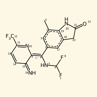 Cc1cc(/C(NC(F)F)=C2\N=C(C(F)(F)F)C=CC2=N)cc2c1NC(=O)C2